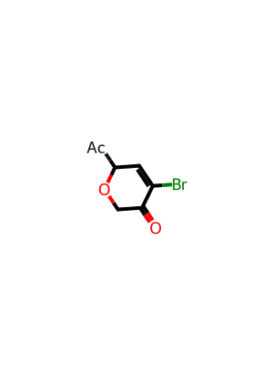 CC(=O)C1C=C(Br)C(=O)CO1